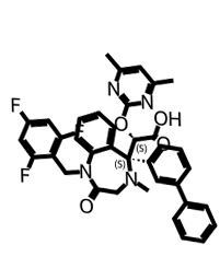 Cc1cc(C)nc(O[C@H](C(=O)O)[C@]2(c3cccc(-c4ccccc4)c3)c3ccccc3N(Cc3c(F)cc(F)cc3F)C(=O)CN2C)n1